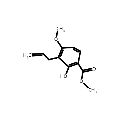 C=CCc1c(OC)ccc(C(=O)OC)c1O